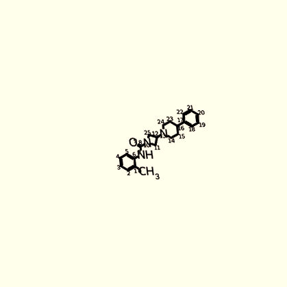 Cc1ccccc1NC(=O)N1CC(N2CCC(c3ccccc3)CC2)C1